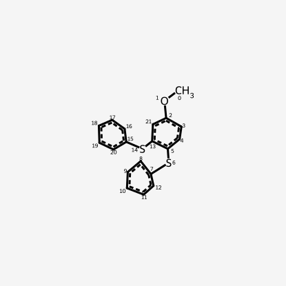 COc1ccc(Sc2ccccc2)c(Sc2ccccc2)c1